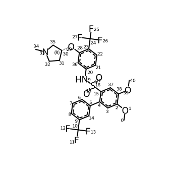 COc1cc(-c2cccc(C(F)(F)F)c2)c(S(=O)(=O)Nc2ccc(C(F)(F)F)c(O[C@@H]3CCN(C)C3)c2)cc1OC